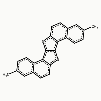 Cc1ccc2c(ccc3sc4c(sc5ccc6cc(C)ccc6c54)c32)c1